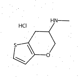 CNC1COc2ccsc2C1.Cl